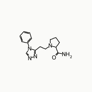 NC(=O)C1CCCN1CCc1nncn1-c1ccccc1